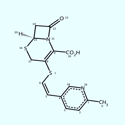 Cc1ccc(/C=C\SC2=C(C(=O)O)N3C(=O)C[C@@H]3SC2)cn1